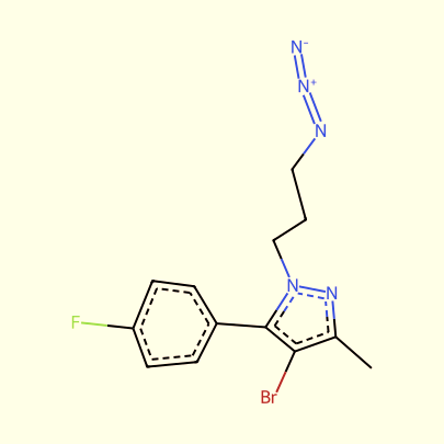 Cc1nn(CCCN=[N+]=[N-])c(-c2ccc(F)cc2)c1Br